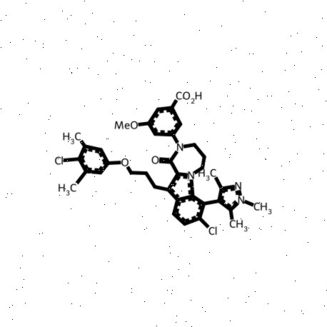 COc1cc(C(=O)O)cc(N2CCCn3c(c(CCCOc4cc(C)c(Cl)c(C)c4)c4ccc(Cl)c(-c5c(C)nn(C)c5C)c43)C2=O)c1